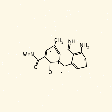 CNC(=O)c1cc(C)cn(Cc2cccc(N)c2C=N)c1=O